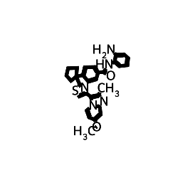 COc1ccn2c(-c3csc(C4(c5ccc(C(=O)Nc6ccccc6N)cc5)CCCC4)n3)c(C)nc2c1